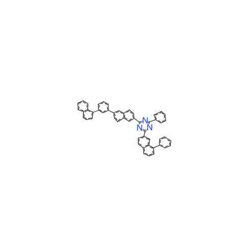 c1ccc(-c2nc(-c3ccc4cc(-c5cccc(-c6cccc7ccccc67)c5)ccc4c3)nc(-c3ccc4cccc(-c5ccccc5)c4c3)n2)cc1